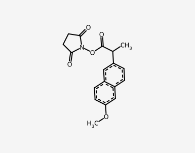 COc1ccc2cc(C(C)C(=O)ON3C(=O)CCC3=O)ccc2c1